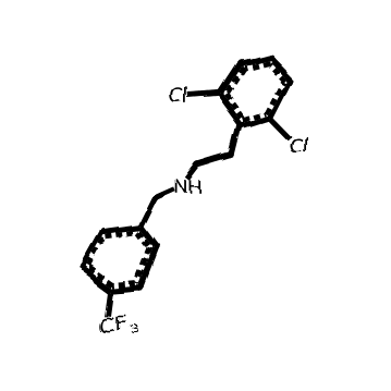 FC(F)(F)c1ccc(CNCCc2c(Cl)cccc2Cl)cc1